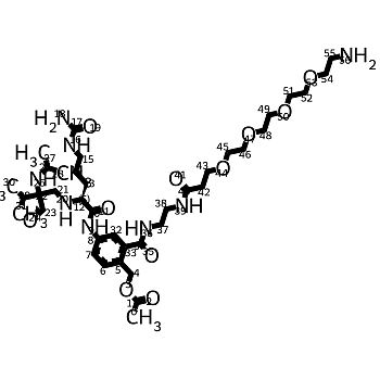 CC(=O)OCc1ccc(NC(=O)[C@H](CCCNC(N)=O)NCC(C=O)(NC(C)C)C(C)C)cc1C(=O)NCCNC(=O)CCOCCOCCOCCOCCN